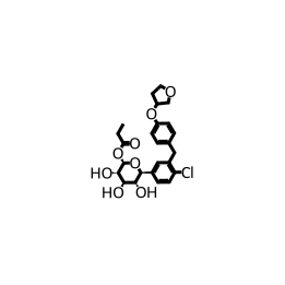 CCC(=O)O[C@H]1O[C@@H](c2ccc(Cl)c(Cc3ccc(OC4CCOC4)cc3)c2)[C@H](O)[C@@H](O)[C@@H]1O